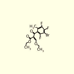 CCOC=C(C(=O)OCC)C(=O)c1c(C)c(F)c(F)c(Br)c1F